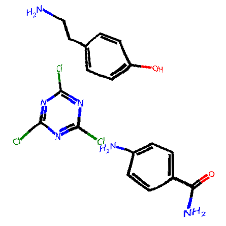 Clc1nc(Cl)nc(Cl)n1.NC(=O)c1ccc(N)cc1.NCCc1ccc(O)cc1